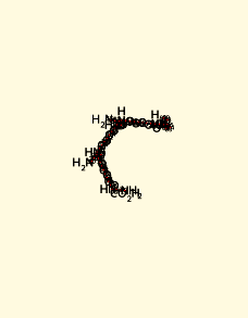 NCCCCC(NC(=O)CCOCCOCCOCCOCCCC(=O)C(CCCCN)NC(=O)CCOCCOCCOCCOCCNC(=O)C(CCCCN)NC(=O)CCOCCOCCOCCOCCNC(=O)OCC1c2ccccc2-c2ccccc21)C(=O)O